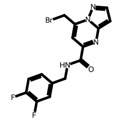 O=C(NCc1ccc(F)c(F)c1)c1cc(CBr)n2nccc2n1